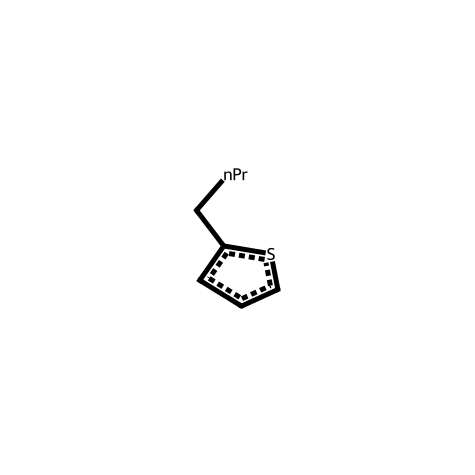 C[CH]CCc1cccs1